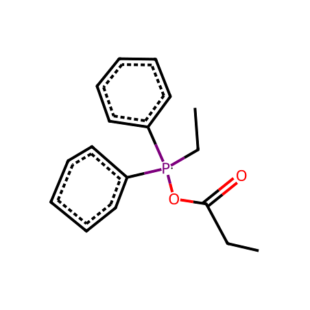 CCC(=O)O[P](CC)(c1ccccc1)c1ccccc1